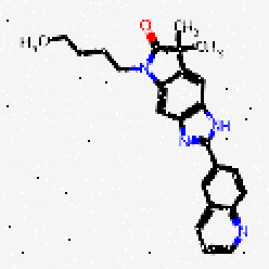 CCCCCN1C(=O)C(C)(C)c2cc3[nH]c(-c4ccc5ncccc5c4)nc3cc21